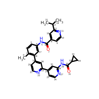 Cc1ccc(NC(=O)c2ccnc(C(C)C)c2)cc1-c1ccnc(-c2ccnc(NC(=O)C3CC3)c2)c1